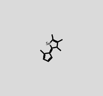 CC1=CC=CC1=C1[Se]C(C)=C(C)C1C